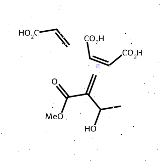 C=C(C(=O)OC)C(C)O.C=CC(=O)O.O=C(O)/C=C\C(=O)O